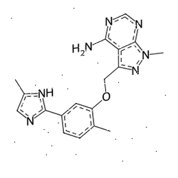 Cc1cnc(-c2ccc(C)c(OCc3nn(C)c4ncnc(N)c34)c2)[nH]1